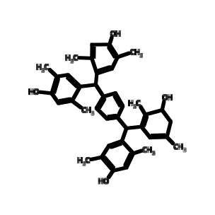 CC1=CC(C(c2ccc(C(c3cc(C)c(O)cc3C)c3cc(C)c(O)cc3C)cc2)c2cc(C)c(O)cc2C)=C(C)C(O)C1